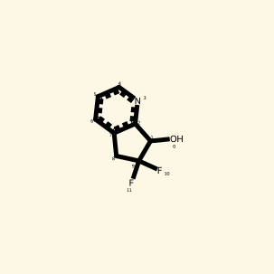 OC1c2ncccc2CC1(F)F